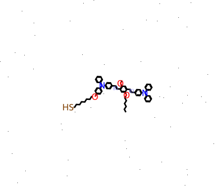 CCCCCCOc1cc(/C=C/c2ccc(N(c3ccccc3)c3ccc(OCCCCCCCCS)cc3)cc2)c(OC)cc1/C=C/c1ccc(N(c2ccccc2)c2ccccc2)cc1